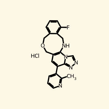 Cc1ncccc1-c1cc2c(n3cnnc13)NCc1c(F)cccc1COC2.Cl